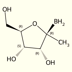 B[C@]1(C)O[C@H](CO)[C@@H](O)[C@H]1O